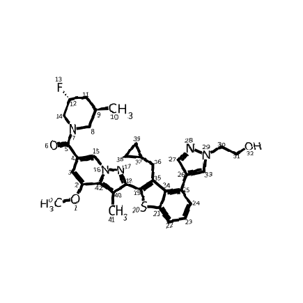 COc1cc(C(=O)N2C[C@H](C)C[C@@H](F)C2)cn2nc(-c3sc4cccc(-c5cnn(CCO)c5)c4c3CC3CC3)c(C)c12